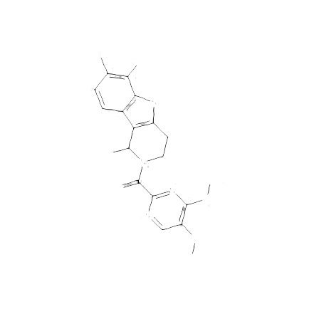 COc1cnc(C(=O)N2CCc3[nH]c4c(Cl)c(Cl)ccc4c3C2C)nc1OC